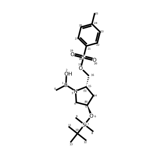 CB(O)N1C[C@H](O[Si](C)(C)C(C)(C)C)C[C@H]1COS(=O)(=O)c1ccc(C)cc1